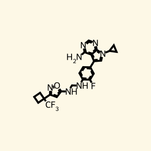 Nc1ncnc2c1c(-c1ccc(NCNc3cc(C4(C(F)(F)F)CCC4)no3)c(F)c1)cn2C1CC1